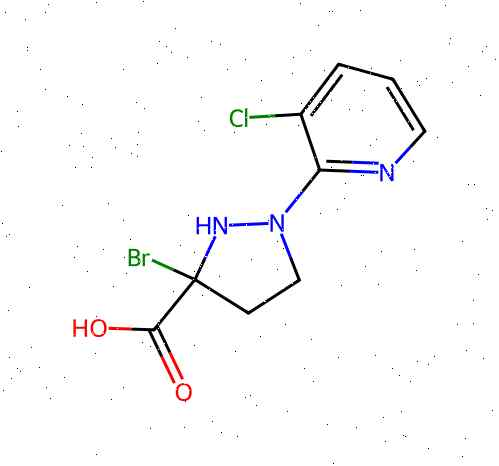 O=C(O)C1(Br)CCN(c2ncccc2Cl)N1